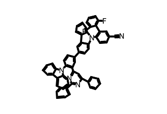 N#Cc1ccc(-n2c3ccccc3c3cc(-c4ccc(-n5c6ccccc6c6ccccc65)c(-c5cc(-c6ccccc6)nc(-c6ccccc6)n5)c4)ccc32)c(-c2c(F)cccc2F)c1